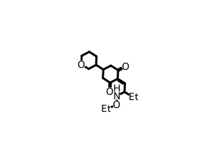 CCONC(C=C1C(=O)CC(C2CCCOC2)CC1=O)CC